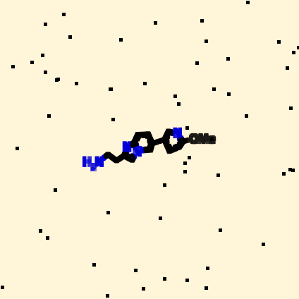 COc1ccc(-c2ccc3nc(CCN)cn3c2)cn1